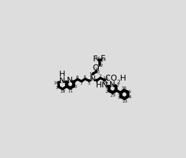 O=C(O)C(CCN(CCCCc1ccc2c(n1)NCCC2)CCOCC(F)F)Nc1ccc(-c2ccccc2)cn1